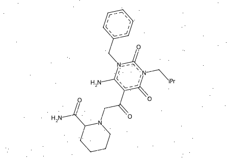 CC(C)Cn1c(=O)c(C(=O)CN2CCCCC2C(N)=O)c(N)n(Cc2ccccc2)c1=O